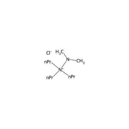 CCC[N+](CCC)(CCC)N(C)C.[Cl-]